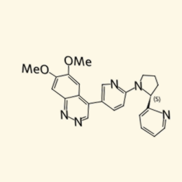 COc1cc2nncc(-c3ccc(N4CCC[C@H]4c4ccccn4)nc3)c2cc1OC